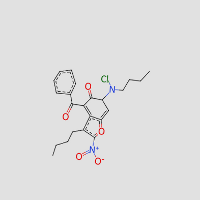 CCCCc1c([N+](=O)[O-])oc2c1=C(C(=O)c1ccccc1)C(=O)C(N(Cl)CCCC)C=2